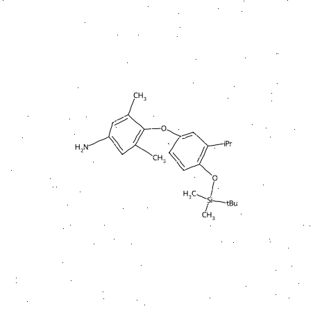 Cc1cc(N)cc(C)c1Oc1ccc(O[Si](C)(C)C(C)(C)C)c(C(C)C)c1